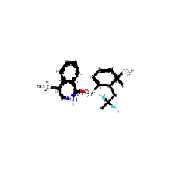 CC(F)(F)CC1C(C(=O)O)=CC=CC1(C)C(=O)O.O=C(O)c1c[nH]c(=O)c2ccccc12